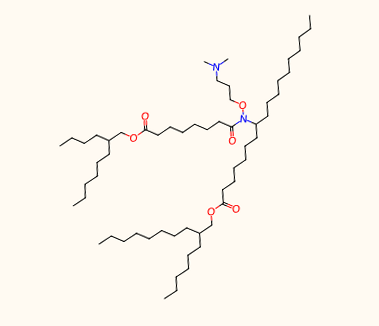 CCCCCCCCCCC(CCCCCCC(=O)OCC(CCCCCC)CCCCCCCC)N(OCCCN(C)C)C(=O)CCCCCCC(=O)OCC(CCCC)CCCCCC